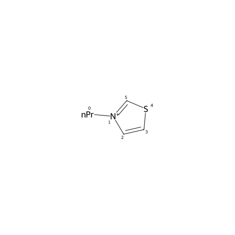 [CH2]CC[n+]1ccsc1